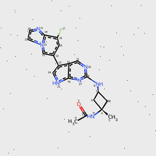 CC(=O)N[C@]1(C)C[C@@H](Nc2ncc3c(-c4cc(F)c5nccn5c4)c[nH]c3n2)C1